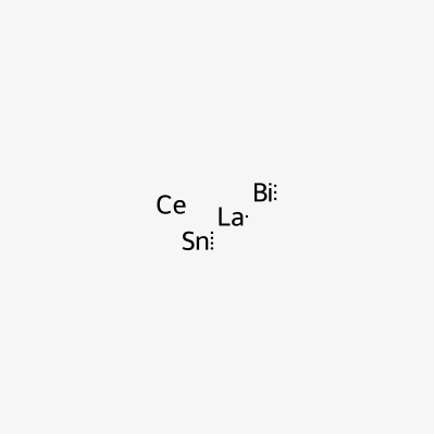 [Bi].[Ce].[La].[Sn]